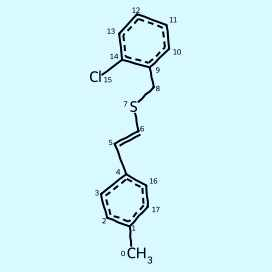 Cc1ccc(C=CSCc2ccccc2Cl)cc1